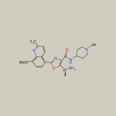 COc1ccc(-c2nc(C(=O)NC3CCN(C(C)C)CC3)c([C@H](C)N)o2)c2ccc(C(F)(F)F)nc12